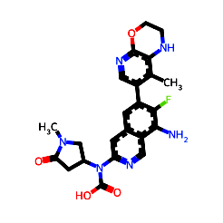 Cc1c(-c2cc3cc(N(C(=O)O)C4CC(=O)N(C)C4)ncc3c(N)c2F)cnc2c1NCCO2